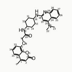 Cc1cc(=O)oc2c(OCC(=O)NC3CCC(Nc4cc(N(C)C)c5ccccc5n4)CC3)cccc12